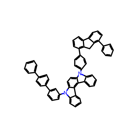 c1ccc(-c2ccc(-c3cccc(-n4c5ccccc5c5c6c7ccccc7n(-c7ccc(-c8cccc9c8Cc8c(-c%10ccccc%10)cccc8-9)cc7)c6ccc54)c3)cc2)cc1